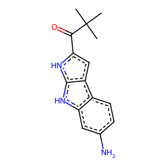 CC(C)(C)C(=O)c1cc2c([nH]1)[nH]c1cc(N)ccc12